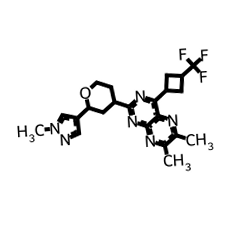 Cc1nc2nc(C3CCOC(c4cnn(C)c4)C3)nc(C3CC(C(F)(F)F)C3)c2nc1C